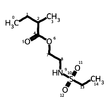 CCC(C)C(=O)OCCNS(=O)(=O)CC